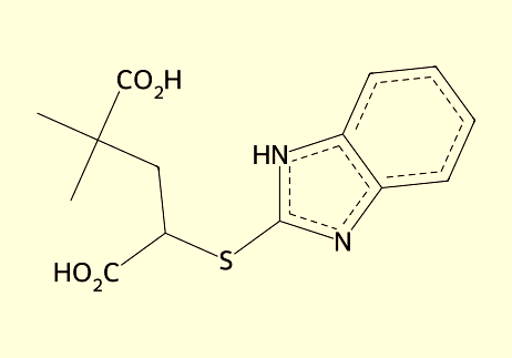 CC(C)(CC(Sc1nc2ccccc2[nH]1)C(=O)O)C(=O)O